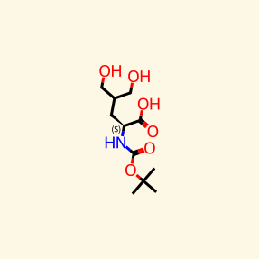 CC(C)(C)OC(=O)N[C@@H](CC(CO)CO)C(=O)O